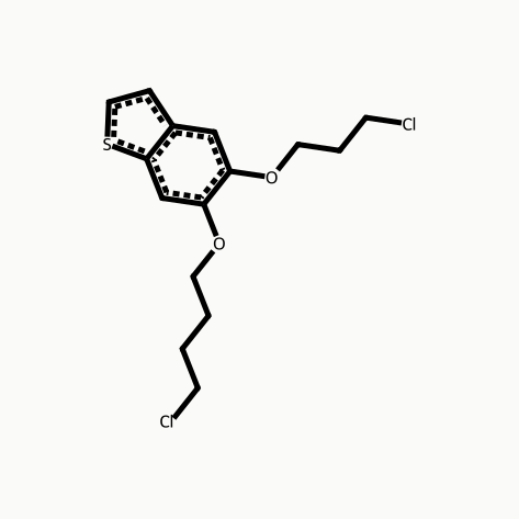 ClCCCCOc1cc2sccc2cc1OCCCCl